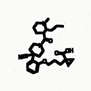 CCCC1C(C(=O)N2CCC(C#N)(c3ccccc3OCCCC3(C(=O)O)CC3)CC2)CCCN1C